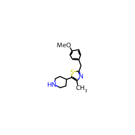 COc1ccc(Cc2nc(C)c(C3CCNCC3)s2)cc1